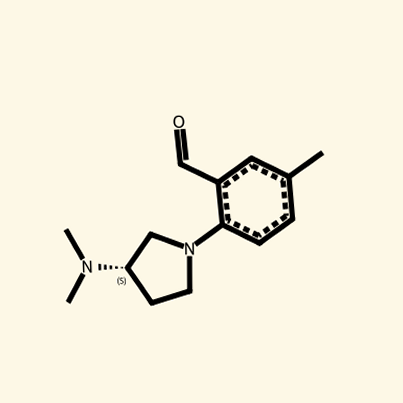 Cc1ccc(N2CC[C@H](N(C)C)C2)c(C=O)c1